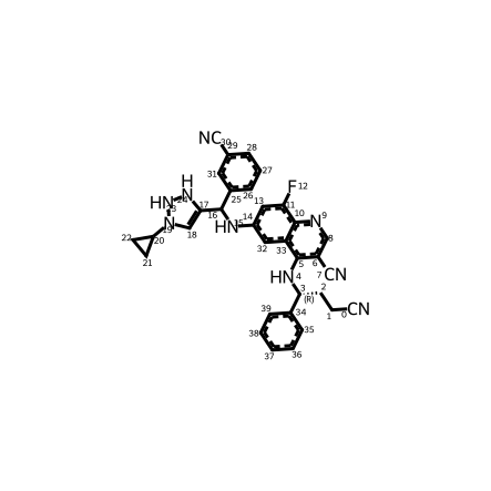 N#CCC[C@@H](Nc1c(C#N)cnc2c(F)cc(NC(C3=CN(C4CC4)NN3)c3cccc(C#N)c3)cc12)c1ccccc1